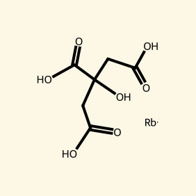 O=C(O)CC(O)(CC(=O)O)C(=O)O.[Rb]